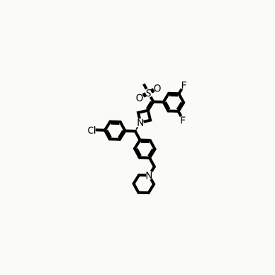 CS(=O)(=O)C(=C1CN([C@@H](c2ccc(Cl)cc2)c2ccc(CN3CCCCC3)cc2)C1)c1cc(F)cc(F)c1